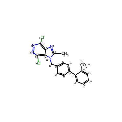 Cc1nc2c(Cl)nnc(Cl)c2n1Cc1ccc(-c2ccccc2C(=O)O)cc1